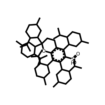 CC1CCC(C(C)C)C(c2c3c(c(C4CC(C)CCC4C(C)C)c([SH](=O)=O)c2C2CC(C)CCC2C(C)C)CCC(C2CC(C)CCC2C(C)C)(C2CC(C)CCC2C(C)C)O3)C1